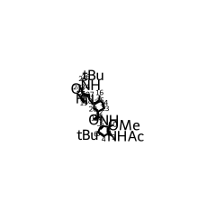 COc1c(NC(C)=O)cc(C(C)(C)C)cc1NC(=O)c1ccc(C)c(-n2cnc(C(=O)NCC(C)(C)C)c2)c1